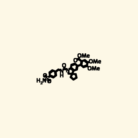 COC(=O)c1cc(OC)c(OC)cc1-c1ccc2c(c1)C1(CCCC1)CN2C(=O)NCc1ccc(S(N)(=O)=O)cc1